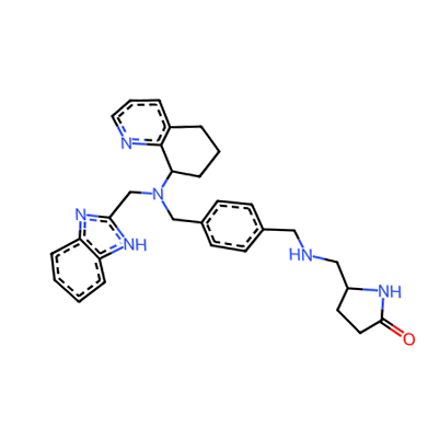 O=C1CCC(CNCc2ccc(CN(Cc3nc4ccccc4[nH]3)C3CCCc4cccnc43)cc2)N1